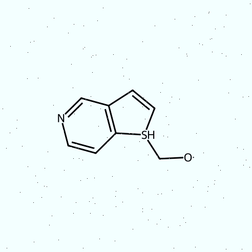 [O]C[SH]1C=Cc2cnccc21